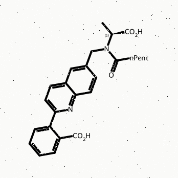 CCCCCC(=O)N(Cc1ccc2nc(-c3ccccc3C(=O)O)ccc2c1)[C@@H](C)C(=O)O